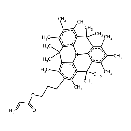 C=CC(=O)OCCCc1c(C)c2c3c(c1C)C(C)(C)c1c(C)c(C)c(C)c4c1N3c1c(c(C)c(C)c(C)c1C2(C)C)C4(C)C